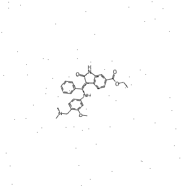 CCOC(=O)c1ccc2c(c1)NC(=O)/C2=C(/Nc1ccc(CN(C)C)c(OC)c1)c1ccccc1